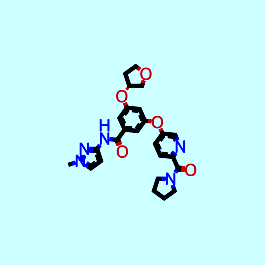 Cn1ccc(NC(=O)c2cc(Oc3ccc(C(=O)N4CCCC4)nc3)cc(O[C@H]3CCOC3)c2)n1